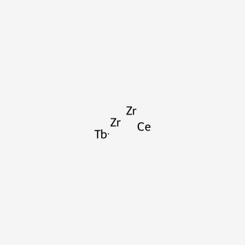 [Ce].[Tb].[Zr].[Zr]